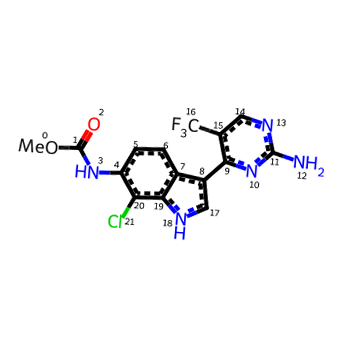 COC(=O)Nc1ccc2c(-c3nc(N)ncc3C(F)(F)F)c[nH]c2c1Cl